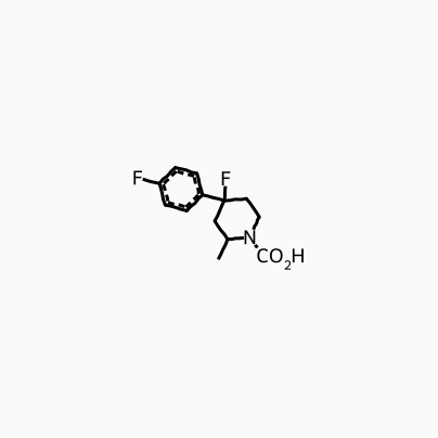 CC1CC(F)(c2ccc(F)cc2)CCN1C(=O)O